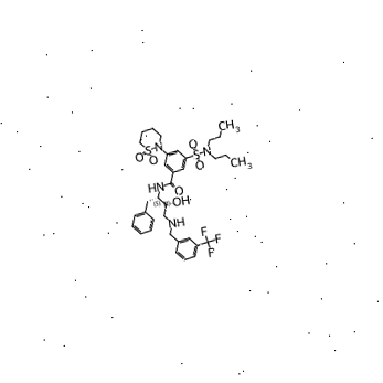 CCCN(CCC)S(=O)(=O)c1cc(C(=O)N[C@@H](Cc2ccccc2)[C@H](O)CNCc2cccc(C(F)(F)F)c2)cc(N2CCCCS2(=O)=O)c1